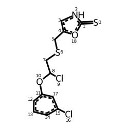 S=c1[nH]cc(CSCC(Cl)Oc2cccc(Cl)c2)o1